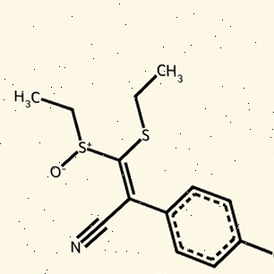 CCS/C(=C(/C#N)c1ccc(Cl)cc1)[S+]([O-])CC